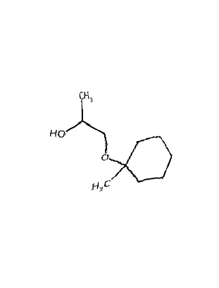 CC(O)COC1(C)CCCCC1